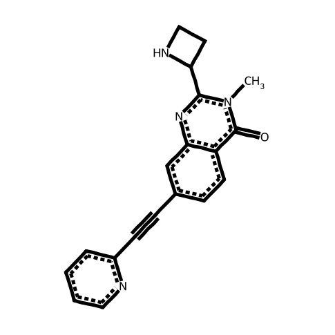 Cn1c(C2CCN2)nc2cc(C#Cc3ccccn3)ccc2c1=O